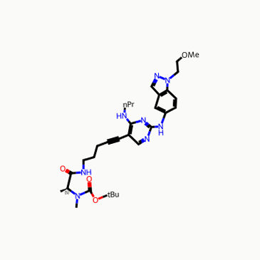 CCCNc1nc(Nc2ccc3c(cnn3CCOC)c2)ncc1C#CCCCNC(=O)[C@H](C)N(C)C(=O)OC(C)(C)C